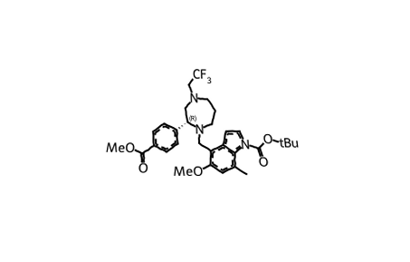 COC(=O)c1ccc([C@@H]2CN(CC(F)(F)F)CCCN2Cc2c(OC)cc(C)c3c2ccn3C(=O)OC(C)(C)C)cc1